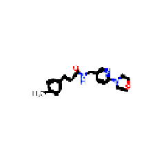 Cc1ccc(C=CC(=O)NCc2ccc(N3CCOCC3)nc2)cc1